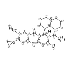 CN(c1nc(Nc2cc(C#N)c(C3CC3)cc2F)ncc1Cl)[C@H]1CCCN2CCCC[C@H]12